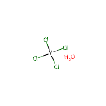 O.[Cl][Y]([Cl])([Cl])[Cl]